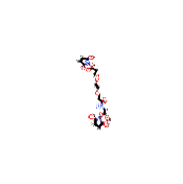 O=C(CCOCCOCCC(=O)ON1C(=O)CCC1=O)NCC(=O)ON1C(=O)CCC1=O